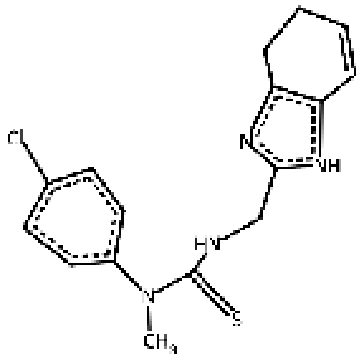 CN(C(=S)NCc1nc2c([nH]1)C=CCC2)c1ccc(Cl)cc1